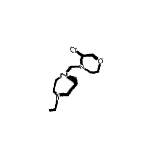 CCN1CCN([CH]N2CCOCC2Cl)CC1